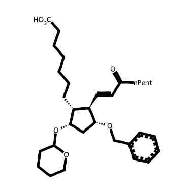 CCCCCC(=O)/C=C/[C@@H]1[C@@H](CCCCCCC(=O)O)[C@@H](OC2CCCCO2)C[C@H]1OCc1ccccc1